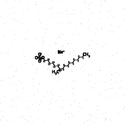 CCCCCCCCCCC(C)CCCCCCOS(=O)(=O)[O-].[Na+]